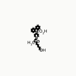 CN(CCN1CCC(N(C(=O)O)c2ccccc2-c2ccccc2)CC1)C(=O)CCCCCO